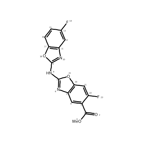 COC(=O)c1cc2nc(Nc3nc4cc(F)ccc4o3)oc2cc1F